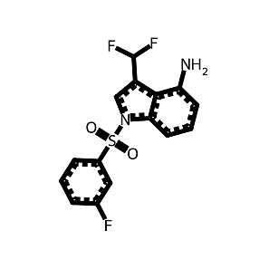 Nc1cccc2c1c(C(F)F)cn2S(=O)(=O)c1cccc(F)c1